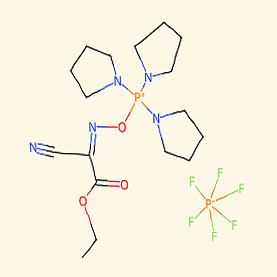 CCOC(=O)C(C#N)=NO[P+](N1CCCC1)(N1CCCC1)N1CCCC1.F[P-](F)(F)(F)(F)F